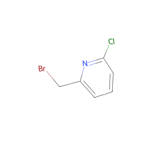 Clc1cccc(CBr)n1